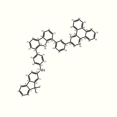 CC1(C)c2ccccc2-c2ccc(Nc3ccc(-c4cccc5c4oc4c(-c6cccc(-c7cnc8c9ccccc9c9ccccc9c8n7)c6)cccc45)cc3)cc21